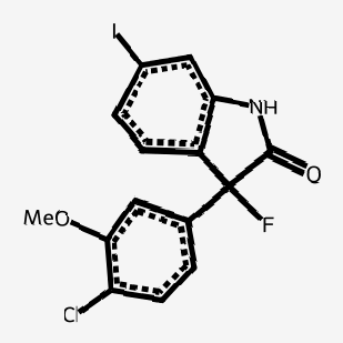 COc1cc(C2(F)C(=O)Nc3cc(I)ccc32)ccc1Cl